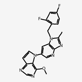 COc1ncnc2ccn(-c3cnc4nc(C)n(Cc5ccc(F)cc5F)c4c3)c12